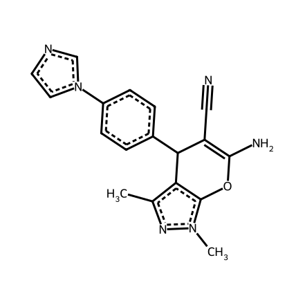 Cc1nn(C)c2c1C(c1ccc(-n3ccnc3)cc1)C(C#N)=C(N)O2